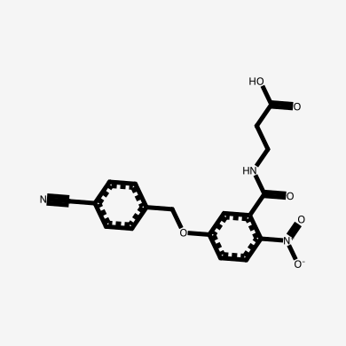 N#Cc1ccc(COc2ccc([N+](=O)[O-])c(C(=O)NCCC(=O)O)c2)cc1